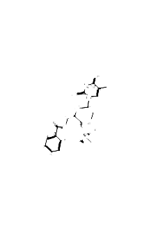 Cc1cn([C@@H](CI)O[C@H](COC(=O)c2ccccc2)COS(C)(=O)=O)c(=O)[nH]c1=O